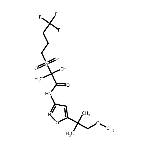 COCC(C)(C)c1cc(NC(=O)C(C)(C)S(=O)(=O)CCCC(F)(F)F)no1